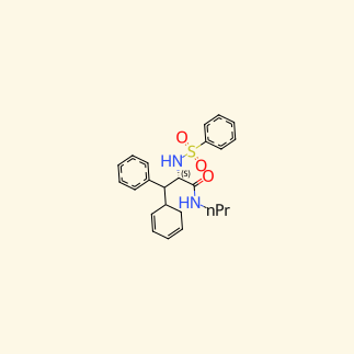 CCCNC(=O)[C@@H](NS(=O)(=O)c1ccccc1)C(c1ccccc1)C1C=CC=CC1